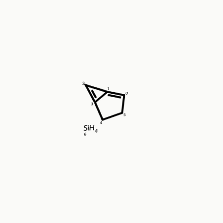 C1=C2C=C2CC1.[SiH4]